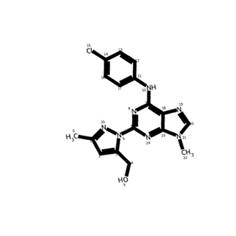 Cc1cc(CO)n(-c2nc(Nc3ccc(Cl)cc3)c3ncn(C)c3n2)n1